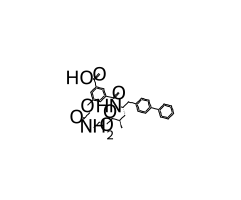 CCOC(=O)[C@H](C)C[C@@H](Cc1ccc(-c2ccccc2)cc1)NC(=O)c1cc(OCC(N)=O)cc(C(=O)O)c1